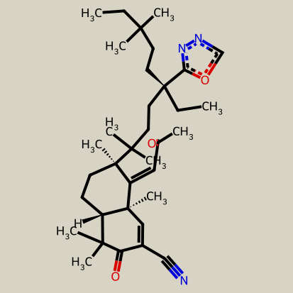 CCC(C)(C)CC[C@@](CC)(CCC(C)(C)[C@]1(C)CC[C@H]2C(C)(C)C(=O)C(C#N)=C[C@]2(C)/C1=C/C(C)=O)c1nnco1